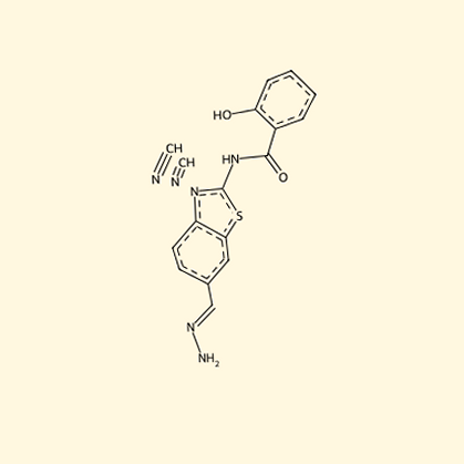 C#N.C#N.NN=Cc1ccc2nc(NC(=O)c3ccccc3O)sc2c1